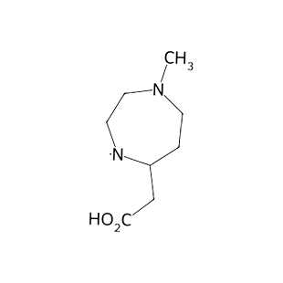 CN1CC[N]C(CC(=O)O)CC1